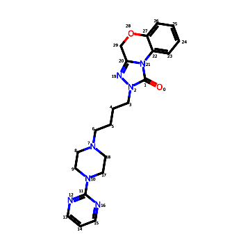 O=c1n(CCCCN2CCN(c3ncccn3)CC2)nc2n1-c1ccccc1OC2